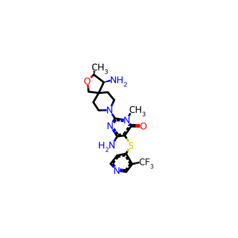 C[C@@H]1OCC2(CCN(c3nc(N)c(Sc4ccncc4C(F)(F)F)c(=O)n3C)CC2)[C@@H]1N